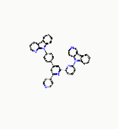 c1cc(-c2cc(-c3ccc(-n4c5ccccc5c5cccnc54)cc3)cc(-c3ccncc3)n2)nc(-n2c3ccccc3c3cnccc32)c1